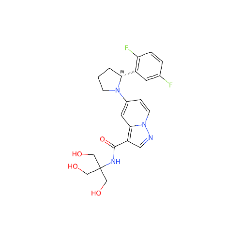 O=C(NC(CO)(CO)CO)c1cnn2ccc(N3CCC[C@@H]3c3cc(F)ccc3F)cc12